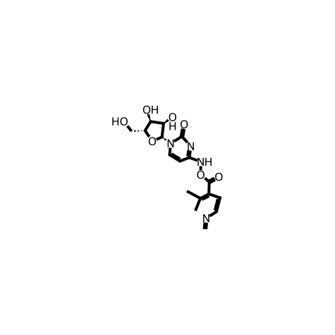 C=N/C=C\C(C(=O)ONc1ccn([C@@H]2O[C@H](CO)[C@@H](O)[C@H]2O)c(=O)n1)=C(C)C